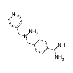 N=C(N)c1ccc(CN(N)Cc2ccncc2)cc1